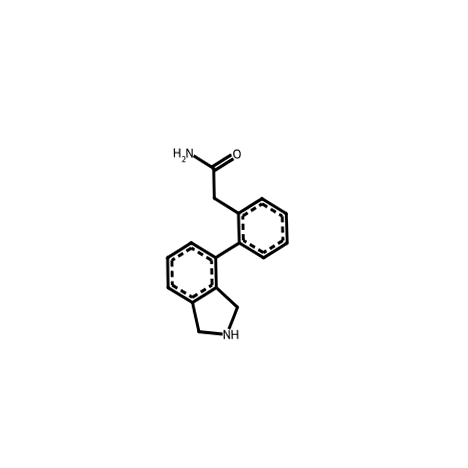 NC(=O)Cc1ccccc1-c1cccc2c1CNC2